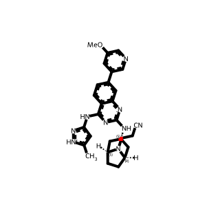 COc1cncc(-c2ccc3c(Nc4cc(C)[nH]n4)nc(N[C@@H]4C[C@H]5CC[C@@H](C4)N5CCC#N)nc3c2)c1